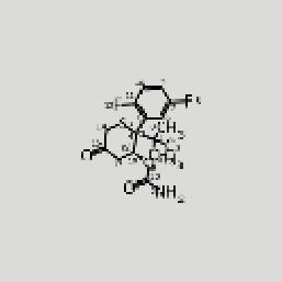 CC(C)(C)[C@]1(c2cc(F)ccc2F)SCC(=O)C[C@@H]1OC(N)=O